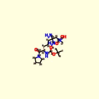 CC(C)(C)OC(=O)N[C@@H](CCCC(N)(N)C[N+](C)([O-])O)C(=O)N1CCCC1